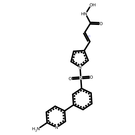 Nc1ccc(-c2cccc(S(=O)(=O)n3ccc(/C=C/C(=O)NO)c3)c2)cn1